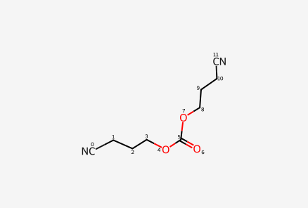 N#CCCCOC(=O)OCCCC#N